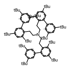 CC(C)(C)c1[c]c(-c2cc(C(C)(C)C)cc(C(C)(C)C)c2CCN(CCc2c(-c3[c]c(C(C)(C)C)cc(C(C)(C)C)c3)cc(C(C)(C)C)cc2C(C)(C)C)CCc2c(-c3[c]c(C(C)(C)C)cc(C(C)(C)C)c3)cc(C(C)(C)C)cc2C(C)(C)C)cc(C(C)(C)C)c1